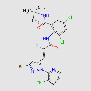 CC(C)(C)NC(=O)c1cc(Cl)cc(Cl)c1NC(=O)/C(F)=C/c1cc(Br)nn1-c1ncccc1Cl